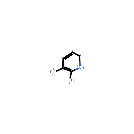 CC1=C(C(F)(F)F)C=CCN1